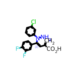 C=C(/C=C(/c1ccc(F)c(F)c1)N(N)c1cccc(Cl)c1)C(=O)O